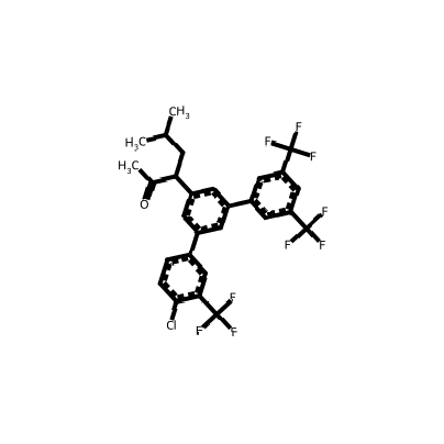 CC(=O)C(CC(C)C)c1cc(-c2cc(C(F)(F)F)cc(C(F)(F)F)c2)cc(-c2ccc(Cl)c(C(F)(F)F)c2)c1